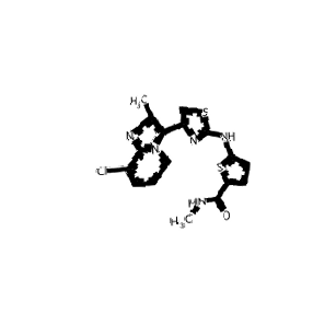 CNC(=O)c1ccc(Nc2nc(-c3c(C)nc4c(Cl)cccn34)cs2)s1